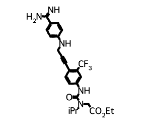 CCOC(=O)CN(C(=O)Nc1ccc(C#CCNc2ccc(C(=N)N)cc2)c(C(F)(F)F)c1)C(C)C